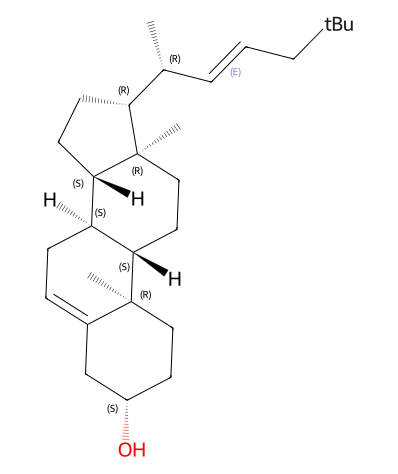 C[C@H](/C=C/CC(C)(C)C)[C@H]1CC[C@H]2[C@@H]3CC=C4C[C@@H](O)CC[C@]4(C)[C@H]3CC[C@]12C